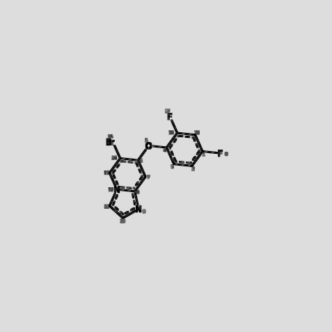 Fc1ccc(Oc2cc3nccn3cc2Br)c(F)c1